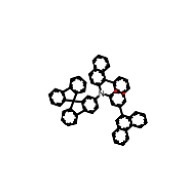 c1ccc(-c2c(N(c3cccc(-c4cc5ccccc5c5ccccc45)c3)c3ccc4c(c3)C3(c5ccccc5-c5ccccc53)c3ccccc3-4)ccc3ccccc23)cc1